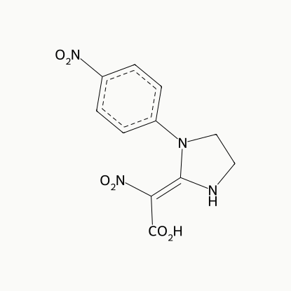 O=C(O)C(=C1NCCN1c1ccc([N+](=O)[O-])cc1)[N+](=O)[O-]